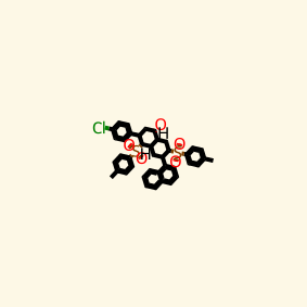 Cc1ccc(S(=O)(=O)C2C[C@H]3C(=O)CC(c4ccc(Cl)cc4)C(S(=O)(=O)c4ccc(C)cc4)[C@H]3CC2c2cccc3ccccc23)cc1